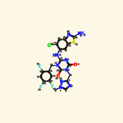 Cn1cnc(Cn2c(=O)nc(Nc3cc4sc(N)nc4cc3Cl)n(Cc3cc(F)c(F)cc3F)c2=O)n1